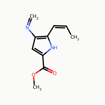 C=Nc1cc(C(=O)OC)[nH]c1/C=C\C